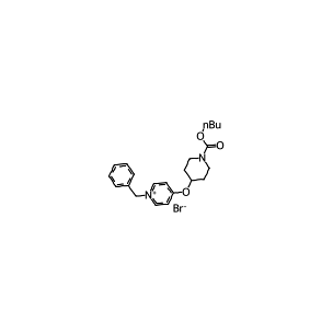 CCCCOC(=O)N1CCC(Oc2cc[n+](Cc3ccccc3)cc2)CC1.[Br-]